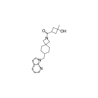 CC1(O)CC(C(=O)N2CC3(CCC(Cn4ccc5cccnc54)CC3)C2)C1